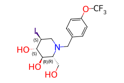 OC[C@@H]1[C@@H](O)[C@H](O)[C@@H](I)CN1Cc1ccc(OC(F)(F)F)cc1